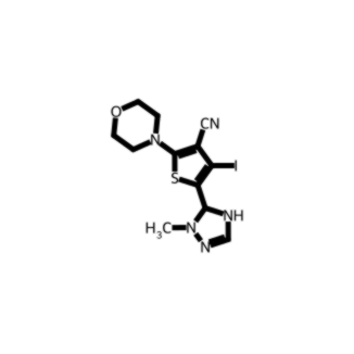 CN1N=CNC1c1sc(N2CCOCC2)c(C#N)c1I